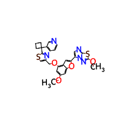 COc1cc(OCc2csc(C3(c4cccnc4)CCC3)n2)c2cc(-c3cnc4sc(OC)nn34)oc2c1